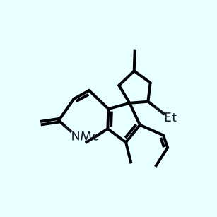 C=C(/C=C\C1=C(C)C(C)=C(/C=C\C)C12CC(C)CC2CC)NC